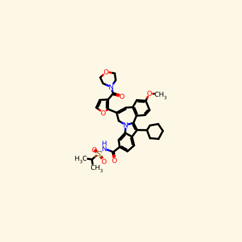 COc1ccc2c(c1)C=C(c1occc1C(=O)N1CCOCC1)Cn1c-2c(C2CCCCC2)c2ccc(C(=O)NS(=O)(=O)C(C)C)cc21